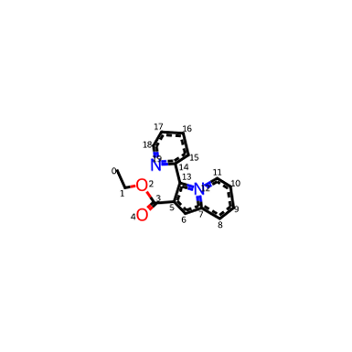 CCOC(=O)c1cc2ccccn2c1-c1ccccn1